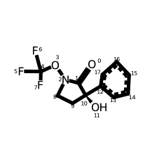 O=C1N(OC(F)(F)F)CC[C@@]1(O)c1ccccc1